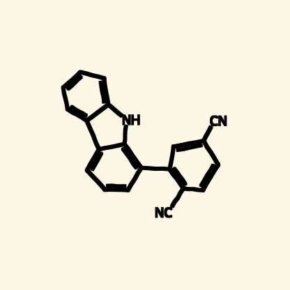 N#Cc1ccc(C#N)c(-c2cccc3c2[nH]c2ccccc23)c1